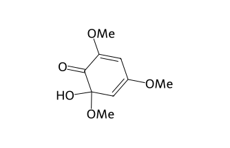 COC1=CC(O)(OC)C(=O)C(OC)=C1